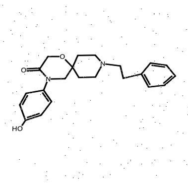 O=C1COC2(CCN(CCc3ccccc3)CC2)CN1c1ccc(O)cc1